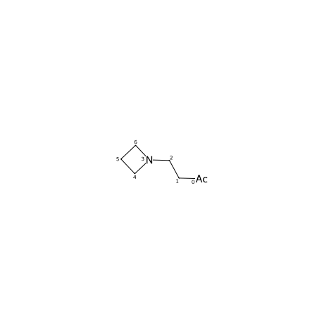 CC(=O)CCN1CCC1